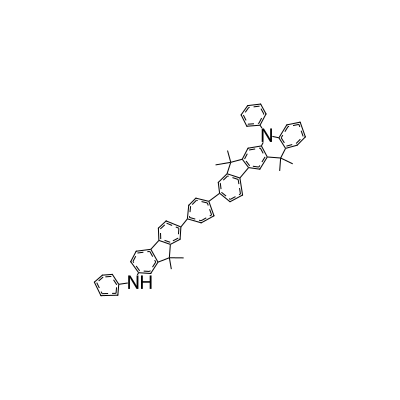 CC1(C)c2cc(Nc3ccccc3)ccc2-c2ccc(-c3ccc(-c4ccc5c(c4)C(C)(C)c4cc6c(cc4-5)C(C)(C)c4ccccc4N6c4ccccc4)cc3)cc21